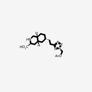 CC(=O)OCn1nnc(CC[C@H]2CC[C@H]3CN[C@H](C(=O)O)C[C@H]3C2)n1